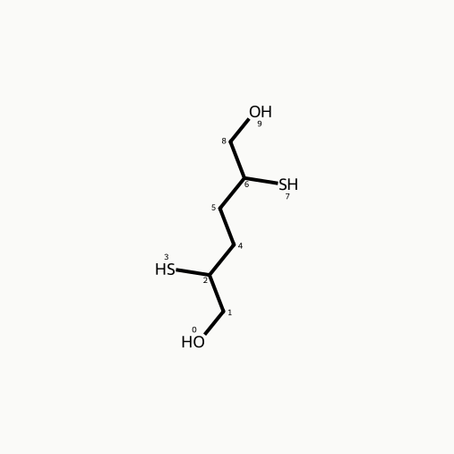 OCC(S)CCC(S)CO